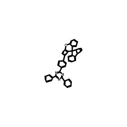 C1=CC2c3ccccc3C3(c4ccccc4Oc4ccc(-c5ccc(-c6nc(-c7ccccc7)nc(-c7ccccc7)n6)cc5)cc43)C2C=C1